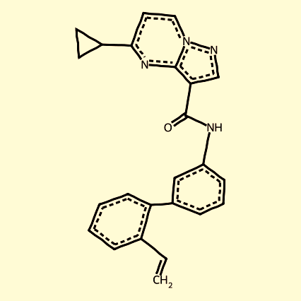 C=Cc1ccccc1-c1cccc(NC(=O)c2cnn3ccc(C4CC4)nc23)c1